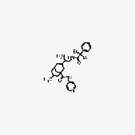 CCC(CC)(C(=O)NCC(N)C1CC2CC(C)CC(C(=O)Nc3ccncc3)(C2)C1)c1ccccc1